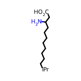 CC(C)CCCCCCCCC(N)CC(=O)O